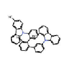 N#Cc1ccc2c(c1)c1ccccc1n2-c1ccccc1-c1c(C#N)cccc1-c1cccc(-n2c3ccccc3c3cccc(C#N)c32)c1